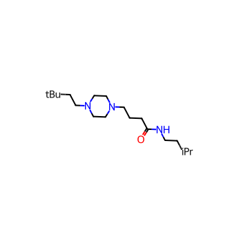 CC(C)CCNC(=O)CCCN1CCN(CCC(C)(C)C)CC1